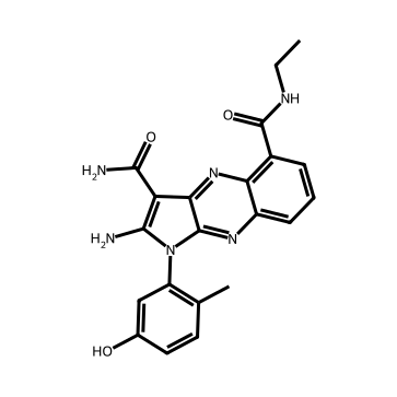 CCNC(=O)c1cccc2nc3c(nc12)c(C(N)=O)c(N)n3-c1cc(O)ccc1C